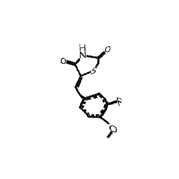 COc1ccc(/C=C2\SC(=O)NC2=O)cc1F